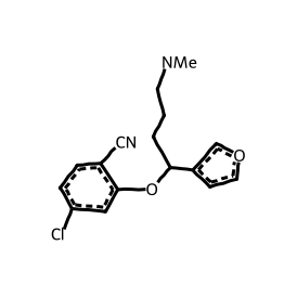 CNCCCC(Oc1cc(Cl)ccc1C#N)c1ccoc1